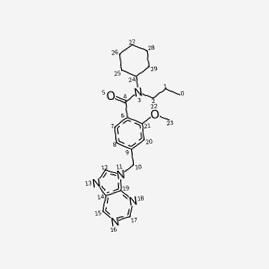 CCCN(C(=O)c1ccc(Cn2cnc3cncnc32)cc1OC)C1CCCCC1